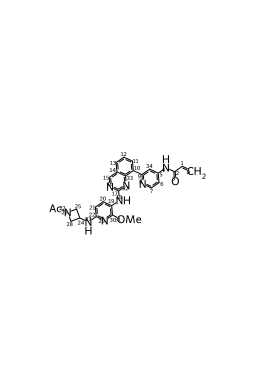 C=CC(=O)Nc1ccnc(-c2cccc3cnc(Nc4ccc(NC5CN(C(C)=O)C5)nc4OC)nc23)c1